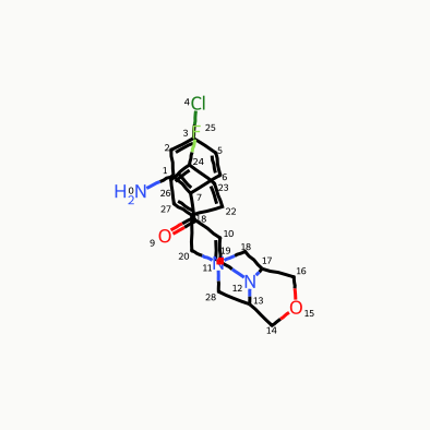 Nc1cc(Cl)ccc1C(=O)/C=C/N1C2COCC1CN(Cc1ccc(F)cc1)C2